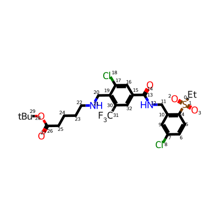 CCS(=O)(=O)c1ccc(Cl)cc1CNC(=O)c1cc(Cl)c(CNCCCCC(=O)OC(C)(C)C)c(C(F)(F)F)c1